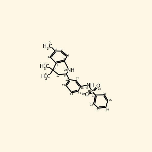 Cc1ccc2c(c1)C(C)(C)CC(c1cccc(NS(=O)(=O)c3ccccc3)c1)N2